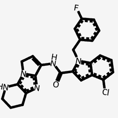 O=C(NC1=CCn2c1nc1c2NCCC1)c1cc2c(Cl)cccc2n1Cc1cccc(F)c1